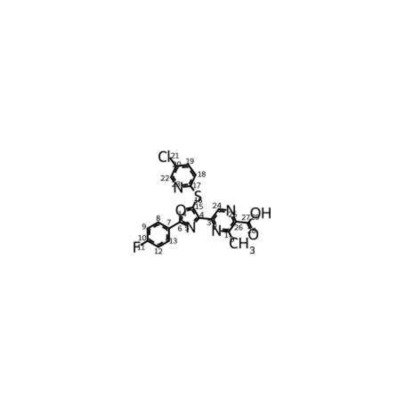 Cc1nc(-c2nc(-c3ccc(F)cc3)oc2Sc2ccc(Cl)cn2)cnc1C(=O)O